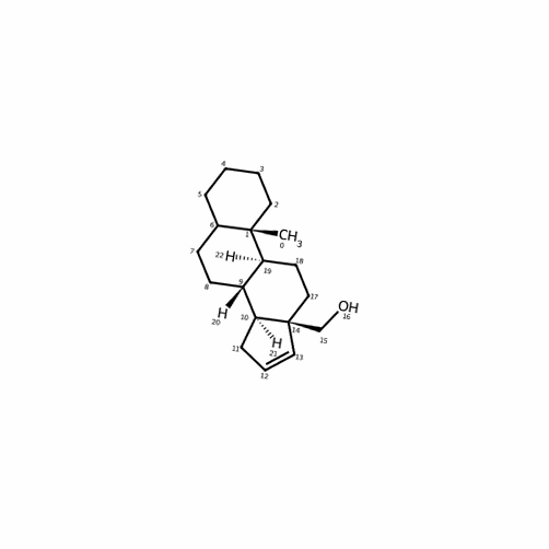 C[C@]12CCCCC1CC[C@H]1[C@@H]3CC=C[C@@]3(CO)CC[C@@H]12